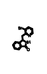 O=C1NC(Cc2ncccc2Br)c2ccccc21